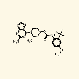 COc1ccc(NC(=O)ON2CCN(c3nc(N)nc4scnc34)[C@@H](C)C2)c(C(F)(F)F)c1